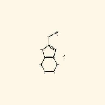 CC(C)CC1=CC2=C([CH]1)CCCC2.[Zr]